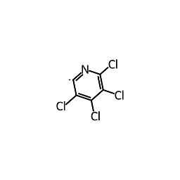 Clc1[c]nc(Cl)c(Cl)c1Cl